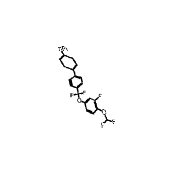 CCCC1CCC(c2ccc(C(F)(F)Oc3ccc(OC(F)F)c(F)c3)cc2)CC1